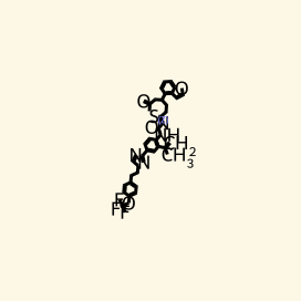 C=C(C)c1cc(C2=NC(CCc3ccc(OC(F)(F)F)cc3)C=N2)ccc1NC(=O)/N=C1/CCC(c2cccc3occc23)CC(=O)CS1